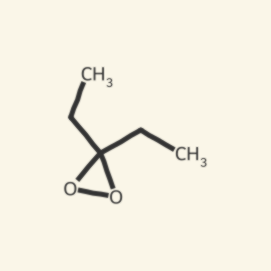 CCC1(CC)OO1